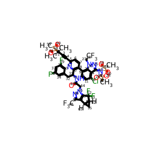 CC(C)(C#Cc1ccc(-c2ccc(Cl)c3c(N(S(C)(=O)=O)S(C)(=O)=O)nn(CC(F)(F)F)c23)c(C(Cc2cc(F)cc(F)c2)NC(=O)Cn2nc(C(F)(F)F)c3c2C(F)(F)[C@@H]2C[C@H]32)n1)S(C)(=O)=O